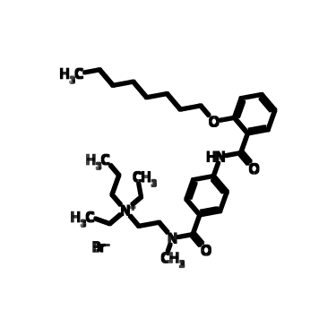 CCCCCCCCOc1ccccc1C(=O)Nc1ccc(C(=O)N(C)CC[N+](CC)(CC)CCC)cc1.[Br-]